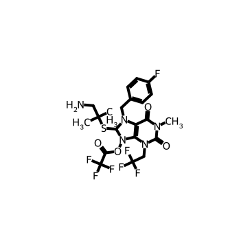 Cn1c(=O)c2c(n(CC(F)(F)F)c1=O)N(OC(=O)C(F)(F)F)C(SC(C)(C)CN)N2Cc1ccc(F)cc1